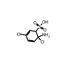 NC1(Cl)C=CC(Cl)=CC1S(=O)(=O)O